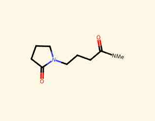 CNC(=O)CCCN1CCCC1=O